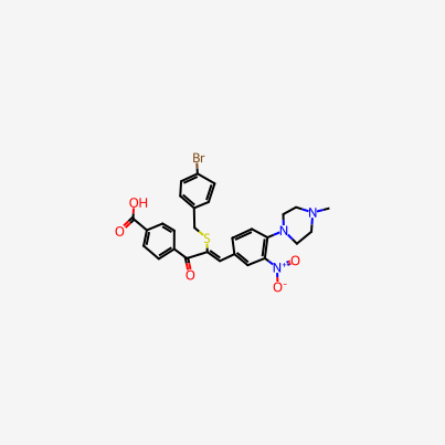 CN1CCN(c2ccc(C=C(SCc3ccc(Br)cc3)C(=O)c3ccc(C(=O)O)cc3)cc2[N+](=O)[O-])CC1